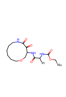 CC(C)C(NC(=O)OCC(C)(C)C)C(=O)NC1COCCCCCCNC(=O)C1=O